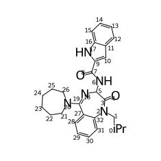 CC(C)CN1C(=O)C(NC(=O)c2cc3ccccc3[nH]2)N=C(N2CCCCCC2)c2ccccc21